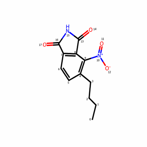 CCCCc1ccc2c(c1[N+](=O)[O-])C(=O)NC2=O